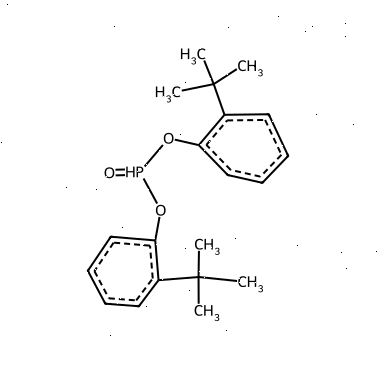 CC(C)(C)c1ccccc1O[PH](=O)Oc1ccccc1C(C)(C)C